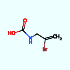 C=C(Br)CNC(=O)O